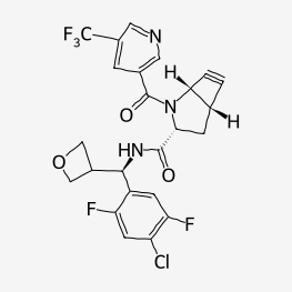 O=C(N[C@@H](c1cc(F)c(Cl)cc1F)C1COC1)[C@H]1C[C@H]2C#C[C@H]2N1C(=O)c1cncc(C(F)(F)F)c1